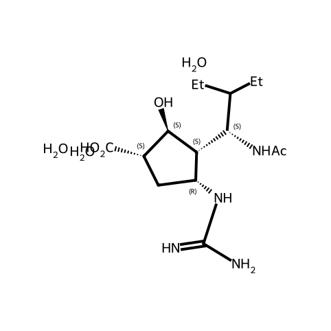 CCC(CC)[C@H](NC(C)=O)[C@H]1[C@H](O)[C@@H](C(=O)O)C[C@H]1NC(=N)N.O.O.O